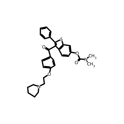 CN(C)C(=O)Oc1ccc2c(C(=O)c3ccc(OCCN4CCCCC4)cc3)c(-c3ccccc3)sc2c1